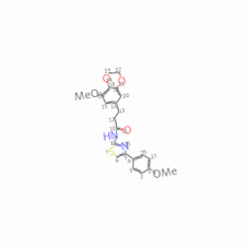 COc1ccc(-c2csc(NC(=O)CCc3cc(OC)c4c(c3)OCCO4)n2)cc1